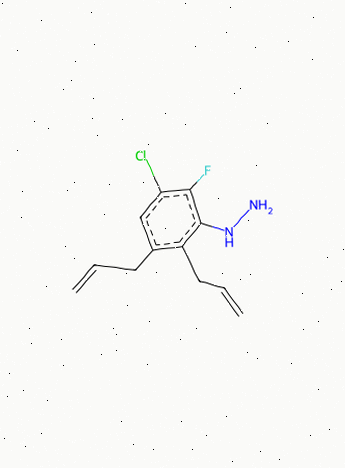 C=CCc1cc(Cl)c(F)c(NN)c1CC=C